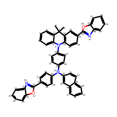 CC1(C)c2ccccc2N(c2ccc(N(c3ccc(-c4nc5ccccc5o4)cc3)c3ccc4ccccc4c3)cc2)c2ccc(-c3nc4ccccc4o3)cc21